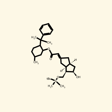 CC1CCC(C(C)(C)c2ccccc2)C(OC(=O)/C=C2/C[C@H]3C[C@@H](O)[C@@H](CO[Si](C)(C)C(C)(C)C)[C@H]3C2)C1